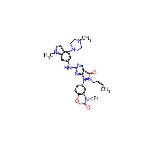 C/C=C\Cn1c(=O)c2cnc(Nc3cc(N4CCN(C)CC4)c4ccn(C)c4c3)nc2n1-c1ccc2c(c1)N(CCC)C(=O)CO2